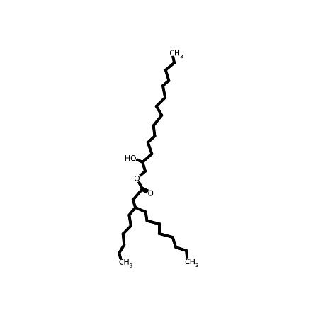 CCCCCCCCCCCCC(O)COC(=O)CC(CCCCCC)CCCCCCCC